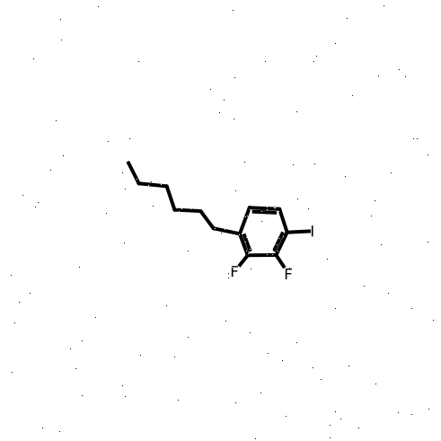 CCCCCCc1ccc(I)c(F)c1F